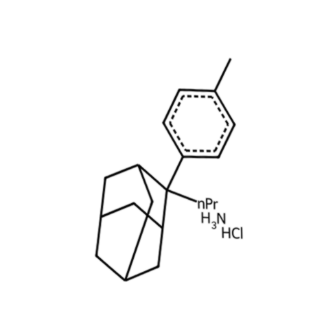 CCCC1(c2ccc(C)cc2)C2CC3CC(C2)CC1C3.Cl.N